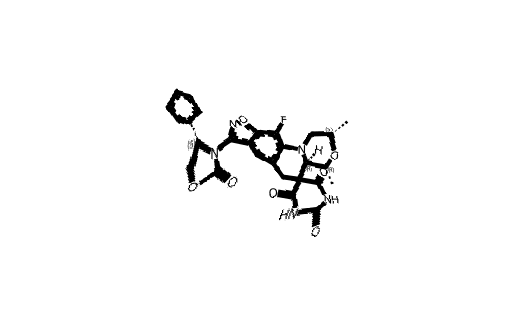 C[C@H]1CN2c3c(cc4c(N5C(=O)OC[C@@H]5c5ccccc5)noc4c3F)CC3(C(=O)NC(=O)NC3=O)[C@@H]2[C@@H](C)O1